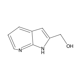 OCc1cc2cccnc2[nH]1